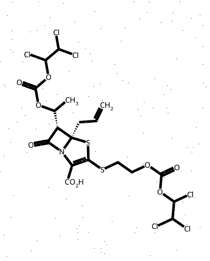 C=CC[C@]12SC(SCCOC(=O)OC(Cl)C(Cl)Cl)=C(C(=O)O)N1C(=O)[C@@H]2C(C)OC(=O)OC(Cl)C(Cl)Cl